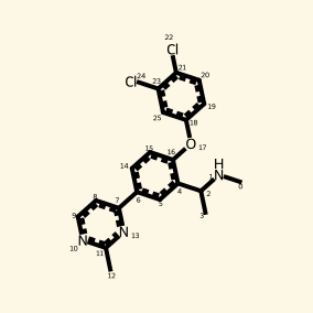 CNC(C)c1cc(-c2ccnc(C)n2)ccc1Oc1ccc(Cl)c(Cl)c1